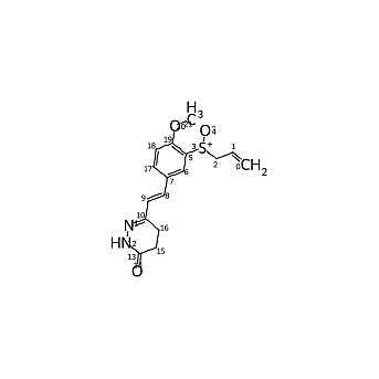 C=CC[S+]([O-])c1cc(C=CC2=NNC(=O)CC2)ccc1OC